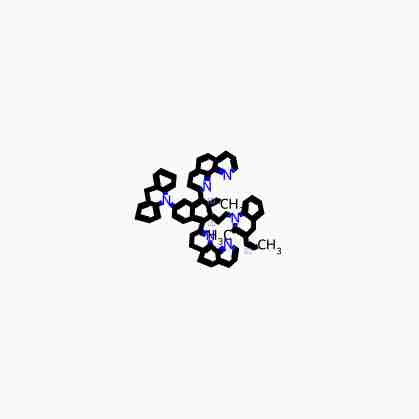 C/C=C\C1=C(C)N(C/C=c2/c(C3=Nc4c(ccc5cccnc45)CC3)c3ccc(N4c5ccccc5Cc5ccccc54)cc3c(-c3ccc4ccc5cccnc5c4n3)/c2=C/C)c2ccccc2C1